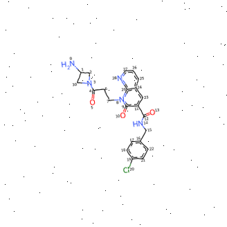 NC1CN(C(=O)CCn2c(=O)c(C(=O)NCc3ccc(Cl)cc3)cc3cccnc32)C1